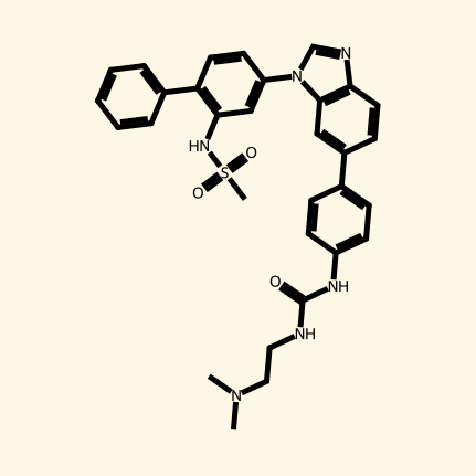 CN(C)CCNC(=O)Nc1ccc(-c2ccc3ncn(-c4ccc(-c5ccccc5)c(NS(C)(=O)=O)c4)c3c2)cc1